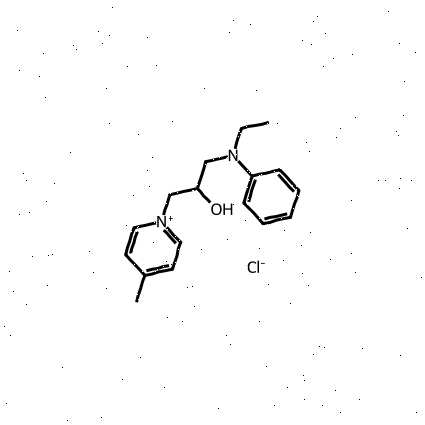 CCN(CC(O)C[n+]1ccc(C)cc1)c1ccccc1.[Cl-]